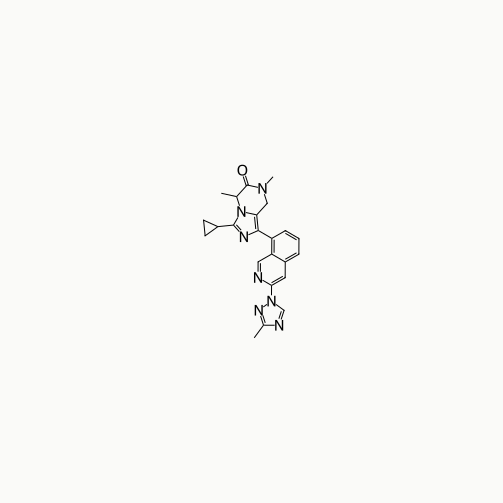 Cc1ncn(-c2cc3cccc(-c4nc(C5CC5)n5c4CN(C)C(=O)C5C)c3cn2)n1